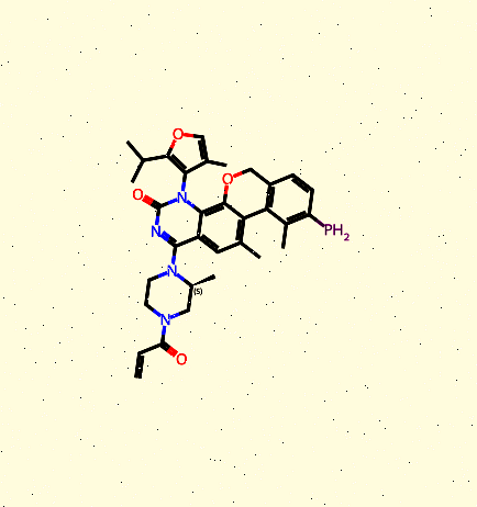 C=CC(=O)N1CCN(c2nc(=O)n(-c3c(C)coc3C(C)C)c3c4c(c(C)cc23)-c2c(ccc(P)c2C)CO4)[C@@H](C)C1